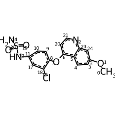 COc1ccc2c(Oc3ccc(NS(N)(=O)=O)cc3Cl)ccnc2c1